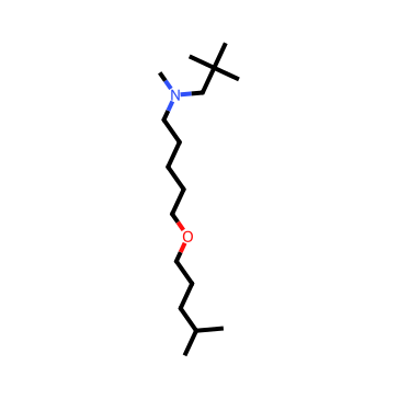 CC(C)CCCOCCCCCN(C)CC(C)(C)C